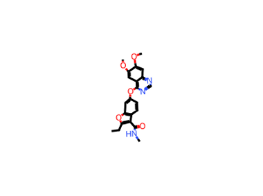 CCc1oc2cc(Oc3ncnc4cc(OC)c(OC)cc34)ccc2c1C(=O)NC